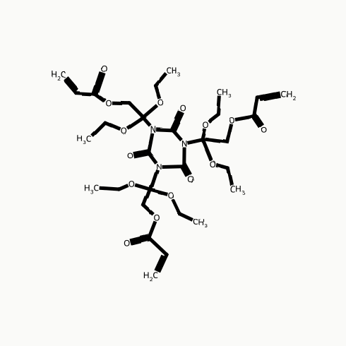 C=CC(=O)OCC(OCC)(OCC)n1c(=O)n(C(COC(=O)C=C)(OCC)OCC)c(=O)n(C(COC(=O)C=C)(OCC)OCC)c1=O